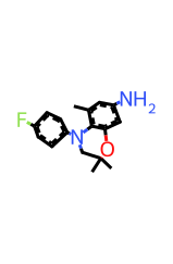 Cc1cc(N)cc2c1N(c1ccc(F)cc1)CC(C)(C)O2